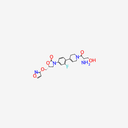 N[C@@H](CO)C(=O)N1CC=C(c2ccc(N3C[C@H](COc4ccon4)OC3=O)cc2F)CC1